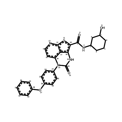 O=C(NC1CCCC(O)C1)c1sc2nccc3c2c1NC(=O)N3c1ccc(Oc2ccccc2)cc1